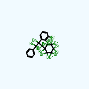 Brc1cccc(C(Br)(C(Br)(Br)c2ccccc2)C(Br)(Br)C2(Br)C(Br)(Br)C(Br)(Br)C(Br)(Br)C(Br)(Br)C2(Br)Br)c1Br